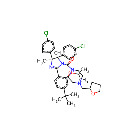 CC(C)Oc1cc(C(C)(C)C)ccc1C1=N[C@@](C)(c2ccc(Cl)cc2)[C@@](C)(c2ccc(Cl)cc2)N1C(=O)N1CCN(CC2CCCO2)CC1